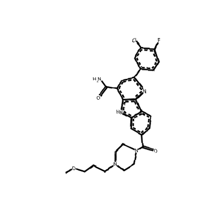 COCCCN1CCN(C(=O)c2ccc3c(c2)[nH]c2c(C(N)=O)cc(-c4ccc(F)c(Cl)c4)nc23)CC1